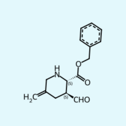 C=C1CN[C@H](C(=O)OCc2ccccc2)[C@@H](C=O)C1